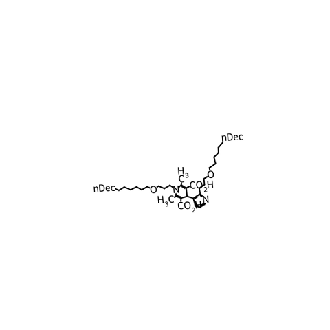 CCCCCCCCCCCCCCCCOCCCc1ncccc1C1C(C(=O)O)=C(C)N(CCCOCCCCCCCCCCCCCCCC)C(C)=C1C(=O)O